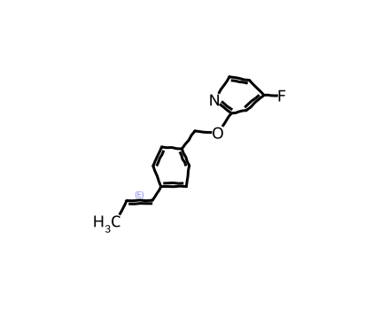 C/C=C/c1ccc(COc2cc(F)ccn2)cc1